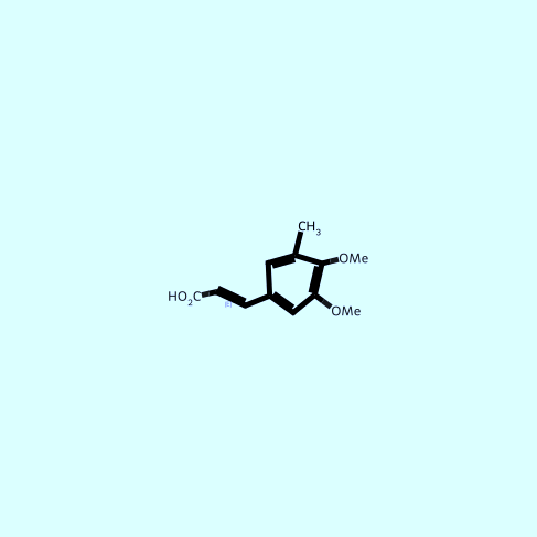 COc1cc(/C=C/C(=O)O)cc(C)c1OC